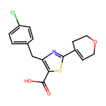 O=C(O)c1sc(C2=CCOCC2)nc1Cc1ccc(Cl)cc1